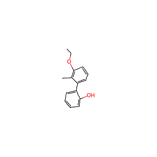 CCOc1cccc(-c2ccccc2O)c1C